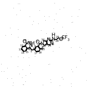 O=C(c1cc(Cc2n[nH]c(=O)c3ccccc23)ccc1F)N1Cc2cnc(NCCOC(F)(F)F)nc2C1